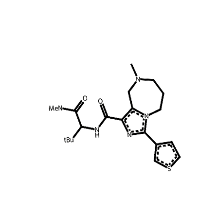 CNC(=O)C(NC(=O)c1nc(-c2ccsc2)n2c1CN(C)CCC2)C(C)(C)C